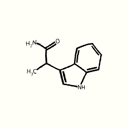 CC(C(N)=O)c1c[nH]c2ccccc12